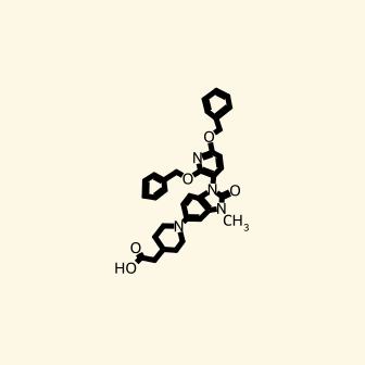 Cn1c(=O)n(-c2ccc(OCc3ccccc3)nc2OCc2ccccc2)c2ccc(N3CCC(CC(=O)O)CC3)cc21